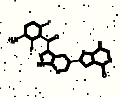 Nc1ccc(F)c(C(=O)c2c[nH]c3ncc(-c4cc5c(=O)nc[nH]c5s4)cc23)c1F